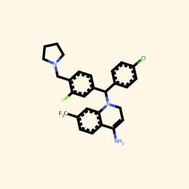 NC1=CCN(C(c2ccc(Cl)cc2)c2ccc(CN3CCCC3)c(F)c2)c2cc(C(F)(F)F)ccc21